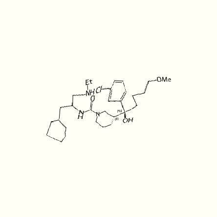 CCNCC(CC1CCCCC1)NC(=O)N1CCC[C@@H]([C@@](O)(CCCCOC)c2cccc(Cl)c2)C1